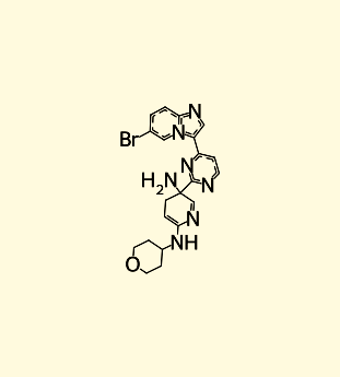 NC1(c2nccc(-c3cnc4ccc(Br)cn34)n2)C=NC(NC2CCOCC2)=CC1